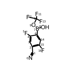 N#Cc1cc(F)c(B(O)OC(F)(F)F)cc1F